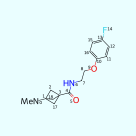 CNC12CC(C(=O)NCCOc3ccc(F)cc3)(C1)C2